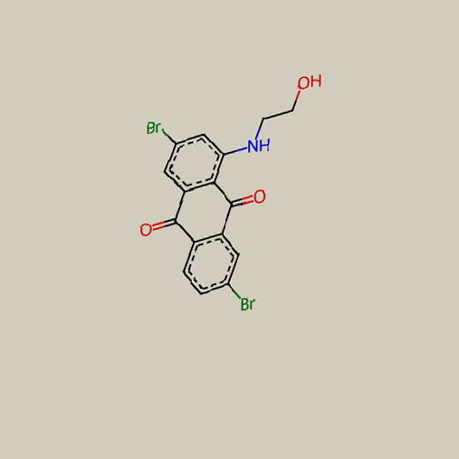 O=C1c2ccc(Br)cc2C(=O)c2c(NCCO)cc(Br)cc21